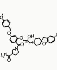 COc1ccc(COc2ccc(C(=O)N3CCC(C(N)=O)C3)c(OC[C@@H](O)CN3CCC4(CC3)Cc3cc(Cl)ccc3O4)c2)cc1